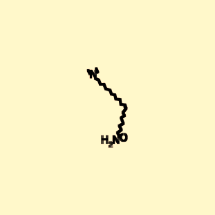 CCN(CC)CCCCCCCCCCC/C=C\CCCCCCCC(N)=O